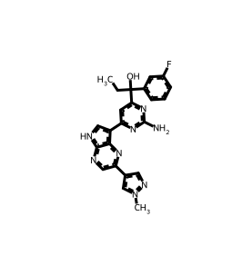 CCC(O)(c1cccc(F)c1)c1cc(-c2c[nH]c3ncc(-c4cnn(C)c4)nc23)nc(N)n1